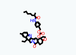 CCCCCC(C)C(=O)Nc1ccc(COC(=O)OC2(CC)C(=O)CCc3c2cc2n(c3=O)Cc3c-2nc2ccc(C)cc2c3CC)cc1